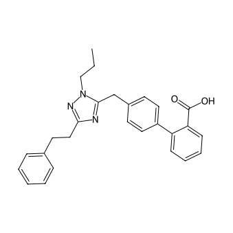 CCCn1nc(CCc2ccccc2)nc1Cc1ccc(-c2ccccc2C(=O)O)cc1